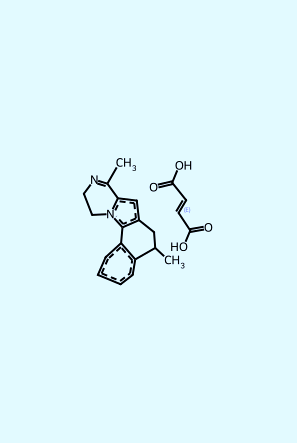 CC1=NCCn2c1cc1c2-c2ccccc2C(C)C1.O=C(O)/C=C/C(=O)O